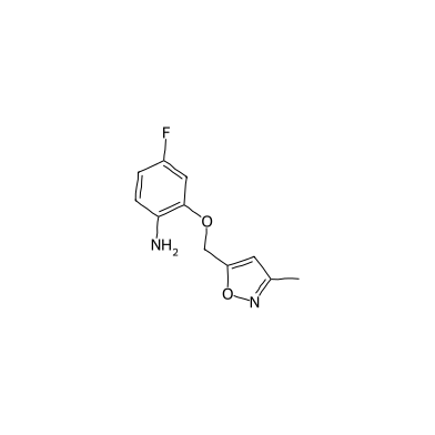 Cc1cc(COc2cc(F)ccc2N)on1